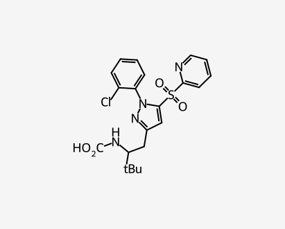 CC(C)(C)C(Cc1cc(S(=O)(=O)c2ccccn2)n(-c2ccccc2Cl)n1)NC(=O)O